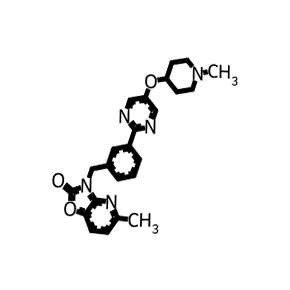 Cc1ccc2oc(=O)n(Cc3cccc(-c4ncc(OC5CCN(C)CC5)cn4)c3)c2n1